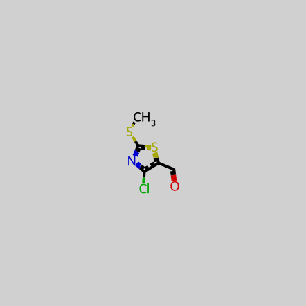 CSc1nc(Cl)c(C=O)s1